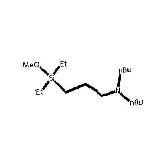 CCCCN(CCCC)CCC[Si](CC)(CC)OC